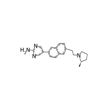 C[C@@H]1CCCN1CCc1ccc2cc(-c3cnc(N)nc3)ccc2c1